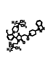 CC(C)(C)CCN1C(=O)[C@H](CC(=O)N2CCC(n3nnc4ccccc43)CC2)SC1c1cccc(F)c1N1CCN(C(C)(C)C)CC1